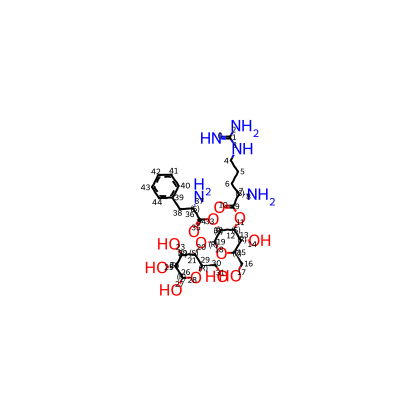 N=C(N)NCCC[C@H](N)C(=O)O[C@H]1[C@H](O)[C@@H](CO)O[C@H](O[C@H]2[C@H](O)[C@@H](O)[C@H](O)O[C@@H]2CO)[C@@H]1OC(=O)[C@@H](N)Cc1ccccc1